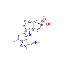 CC(C)n1ncc(C#N)c1-c1cn2c(n1)-c1ccc(C(=O)O)cc1OCC2